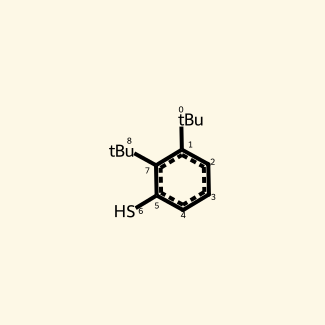 CC(C)(C)c1cccc(S)c1C(C)(C)C